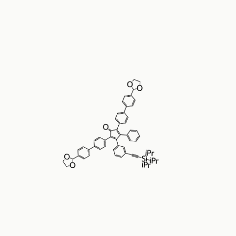 CC(C)[Si](C#Cc1cccc(C2=C(c3ccc(-c4ccc(C5OCCO5)cc4)cc3)C(=O)C(c3ccc(-c4ccc(C5OCCO5)cc4)cc3)=C2c2ccccc2)c1)(C(C)C)C(C)C